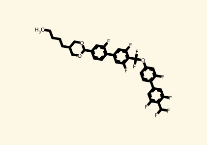 CCCCCC1COC(c2ccc(-c3cc(F)c(C(F)(F)Oc4ccc(-c5cc(F)c(C(F)F)c(F)c5)c(F)c4)c(F)c3)c(F)c2)OC1